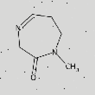 CN1CCC=NCC1=O